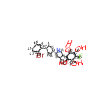 Cc1cc(-c2ccc(-c3ccccc3Br)cc2)ncc1-c1c(O)c(O)c(F)c(O)c1O